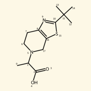 CC(C(=O)O)N1CCc2nc(C(C)(C)C)sc2C1